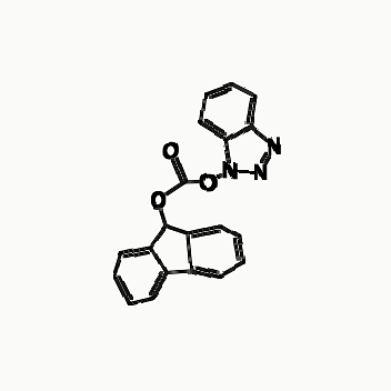 O=C(OC1c2ccccc2-c2ccccc21)On1nnc2ccccc21